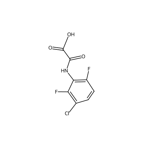 O=C(O)C(=O)Nc1c(F)ccc(Cl)c1F